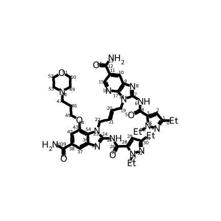 CCc1cc(C(=O)Nc2nc3cc(C(N)=O)cnc3n2C/C=C/Cn2c(NC(=O)c3cc(CC)nn3CC)nc3cc(C(N)=O)cc(OCCCN4CCOCC4)c32)n(CC)n1